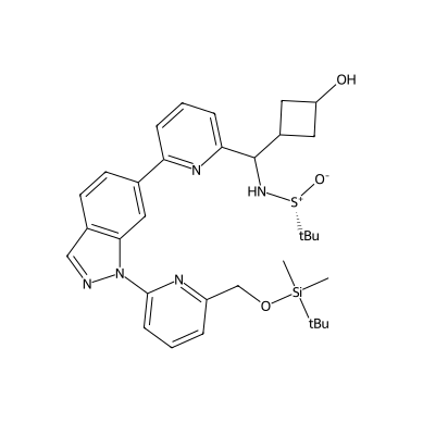 CC(C)(C)[S@@+]([O-])NC(c1cccc(-c2ccc3cnn(-c4cccc(CO[Si](C)(C)C(C)(C)C)n4)c3c2)n1)C1CC(O)C1